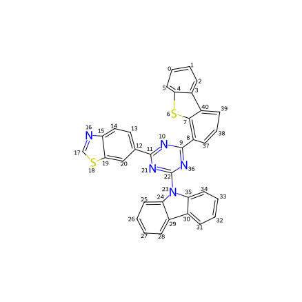 c1ccc2c(c1)sc1c(-c3nc(-c4ccc5ncsc5c4)nc(-n4c5ccccc5c5ccccc54)n3)cccc12